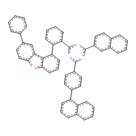 c1ccc(-c2ccc3oc4cccc(-c5ccccc5-c5nc(-c6ccc(-c7cccc8ccccc78)cc6)nc(-c6ccc7ccccc7c6)n5)c4c3c2)cc1